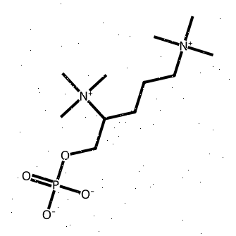 C[N+](C)(C)CCCC(COP(=O)([O-])[O-])[N+](C)(C)C